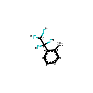 CCc1ccccc1C(F)(F)C(F)F